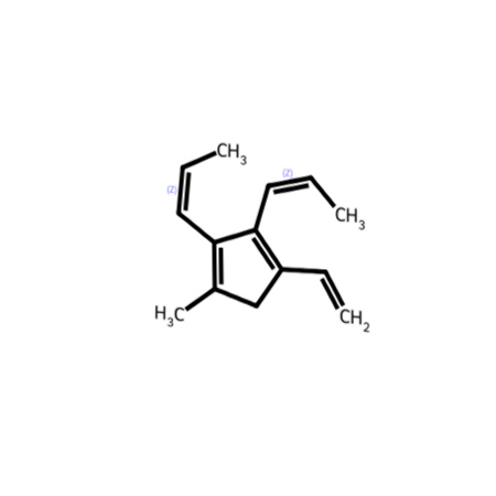 C=CC1=C(/C=C\C)C(/C=C\C)=C(C)C1